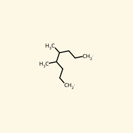 [CH2]CCC(C)C(C)CC[CH2]